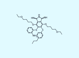 CCCc1ccc(Sc2c(OCCCCOCC)c3c(c(OCCCCOCC)c2Sc2ccccc2N)C(=N)NC3=N)cc1